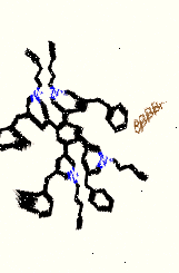 C#CCCC[n+]1cc(Cc2ccccc2)cc(-c2cc(-c3cc(Cc4ccccc4)c[n+](CCCC#C)c3)c(-c3cc(Cc4ccccc4)c[n+](CCCC#C)c3)cc2-c2cc(Cc3ccccc3)c[n+](CCCC#C)c2)c1.[Br-].[Br-].[Br-].[Br-]